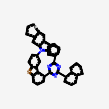 c1ccc(-c2nc(-c3cccc4ccccc34)nc(-c3cccc4sc5ccc(-n6c7ccccc7c7cc8ccccc8cc76)cc5c34)n2)cc1